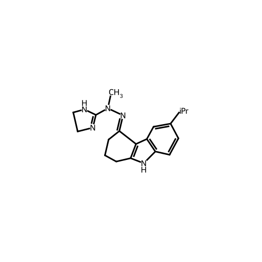 CC(C)c1ccc2[nH]c3c(c2c1)C(=NN(C)C1=NCCN1)CCC3